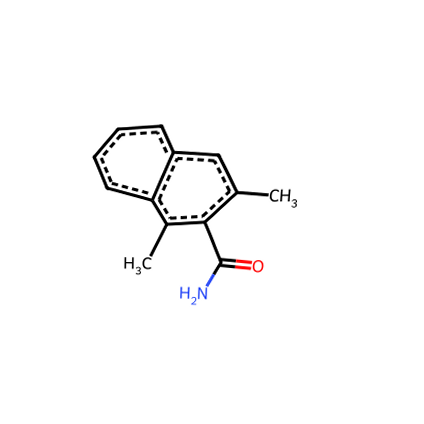 Cc1cc2ccccc2c(C)c1C(N)=O